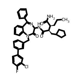 CCC[C@H](C(N)=O)[C@@H](CC1CCCC1)C(=O)NC1N=C(c2ccccc2)c2ccccc2N(Cc2cccc(-c3ccc(F)c(Cl)c3)c2)C1=O